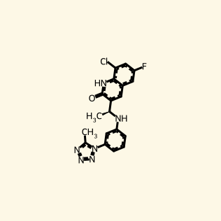 Cc1nnnn1-c1cccc(N[C@@H](C)c2cc3cc(F)cc(Cl)c3[nH]c2=O)c1